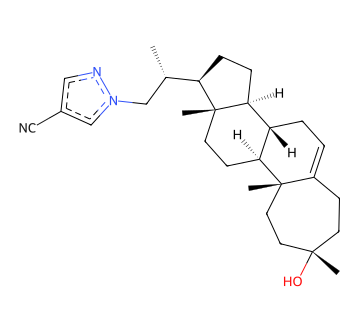 C[C@@H](Cn1cc(C#N)cn1)[C@H]1CC[C@H]2[C@@H]3CC=C4CC[C@](C)(O)CC[C@]4(C)[C@H]3CC[C@]12C